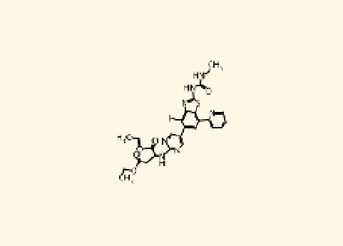 CCNC(=O)Nc1nc2c(F)c(-c3cnc(NC(CC(=O)OCC)C(=O)OCC)nc3)cc(-c3ccccn3)c2s1